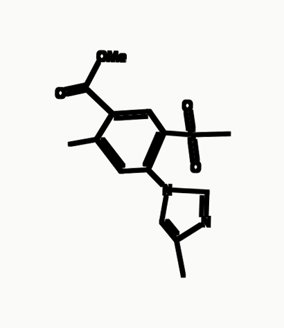 COC(=O)c1cc(S(C)(=O)=O)c(-n2cnc(C)c2)cc1C